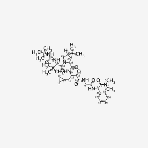 CN(C)C(=O)[C@@H](NC(=O)CNC(=O)C(=O)C(CC1CC1)NC(=O)C1C2[C@H](CN1C(=O)C(NC(=O)NC(C)(C)C)C(C)(C)C)C2(C)C)c1ccccc1